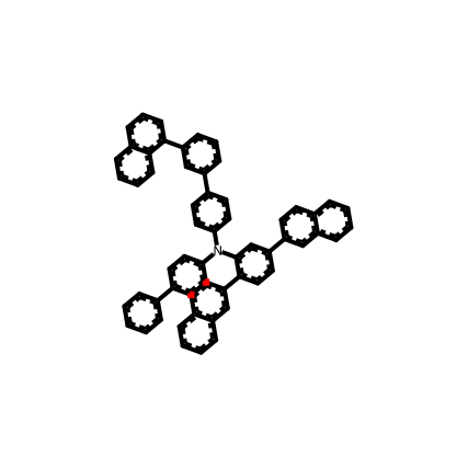 c1ccc(-c2ccc(N(c3ccc(-c4cccc(-c5cccc6ccccc56)c4)cc3)c3cc(-c4ccc5ccccc5c4)ccc3-c3ccc4ccccc4c3)cc2)cc1